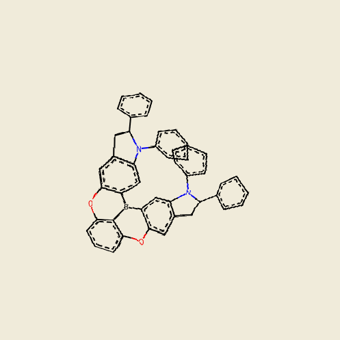 c1ccc(C2Cc3cc4c(cc3N2c2ccccc2)B2c3cc5c(cc3Oc3cccc(c32)O4)CC(c2ccccc2)N5c2ccccc2)cc1